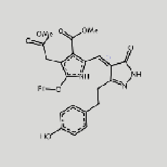 CCOc1[nH]c(/C=C2/C(=O)NN=C2CCc2ccc(O)cc2)c(C(=O)OC)c1CC(=O)OC